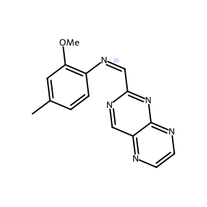 COc1cc(C)ccc1/N=C\c1ncc2nccnc2n1